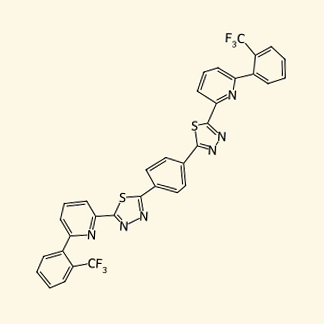 FC(F)(F)c1ccccc1-c1cccc(-c2nnc(-c3ccc(-c4nnc(-c5cccc(-c6ccccc6C(F)(F)F)n5)s4)cc3)s2)n1